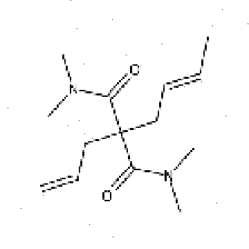 C=CCC(C/C=C/C)(C(=O)N(C)C)C(=O)N(C)C